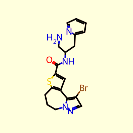 NCC(Cc1ccccn1)NC(=O)c1cc2c(s1)CCCn1ncc(Br)c1-2